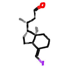 C[C@H](CC=O)[C@H]1CCC2C(=CI)CCC[C@@]21C